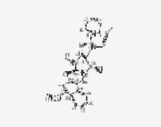 CC#CCn1c(N2CCNCC2)nc2c1c(=O)n(Cc1ccc(OC)c3ccccc13)c(=O)n2C